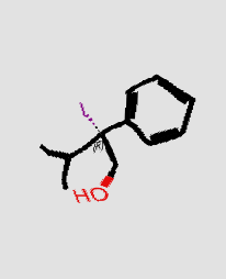 CC(C)[C@](I)(CO)c1ccccc1